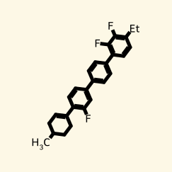 CCc1ccc(-c2ccc(-c3ccc(C4=CCC(C)CC4)c(F)c3)cc2)c(F)c1F